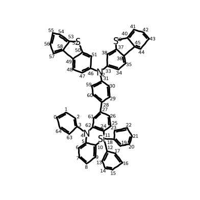 c1ccc(N2c3ccccc3[Si](c3ccccc3)(c3ccccc3)c3ccc(-c4ccc(N(c5ccc6c(c5)sc5ccccc56)c5ccc6c(c5)sc5ccccc56)cc4)cc32)cc1